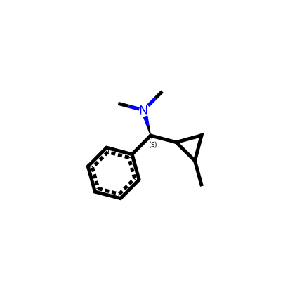 CC1CC1[C@@H](c1ccccc1)N(C)C